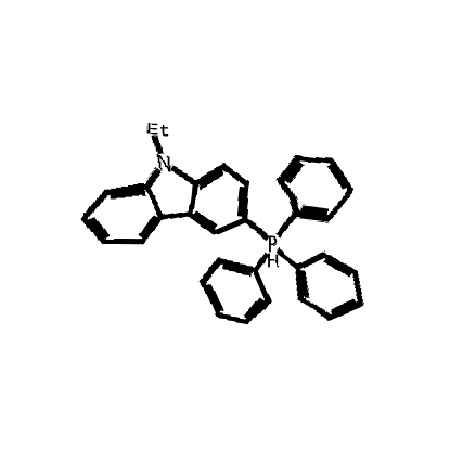 CCn1c2ccccc2c2cc([PH](c3ccccc3)(c3ccccc3)c3ccccc3)ccc21